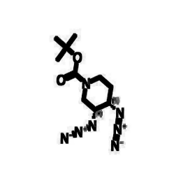 CC(C)(C)OC(=O)N1CC[C@H](N=[N+]=[N-])[C@H](N=[N+]=[N-])C1